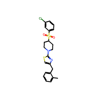 Cc1ccccc1Cc1csc(N2CCC(S(=O)(=O)c3cccc(Cl)c3)CC2)n1